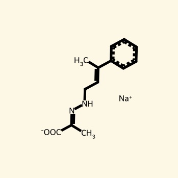 CC(=CCNN=C(C)C(=O)[O-])c1ccccc1.[Na+]